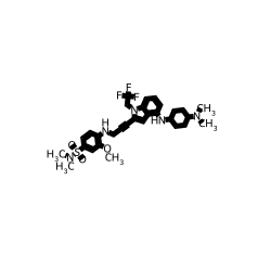 COc1cc(S(=O)(=O)N(C)C)ccc1NCC#Cc1cc2c(NC3CCC(N(C)C)CC3)cccc2n1CC(F)(F)F